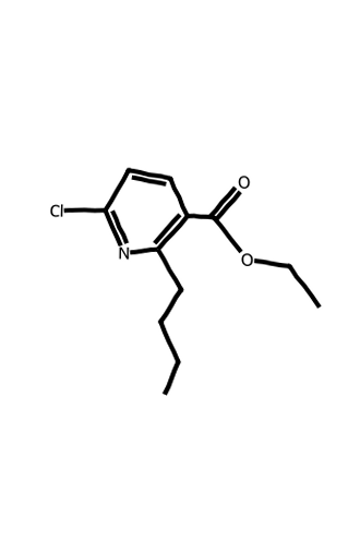 CCCCc1nc(Cl)ccc1C(=O)OCC